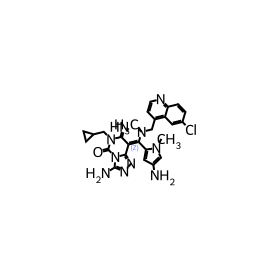 CN(Cc1ccnc2ccc(Cl)cc12)/C(c1cc(N)cn1C)=c1\c(=N)n(CC2CC2)c(=O)n2c(N)nnc12